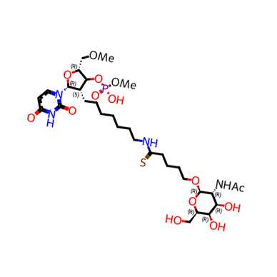 COC[C@H]1O[C@@H](n2ccc(=O)[nH]c2=O)[C@@H](CCCCCCCNC(=S)CCCCO[C@@H]2O[C@H](CO)[C@H](O)[C@H](O)[C@H]2NC(C)=O)C1OP(=O)(O)OC